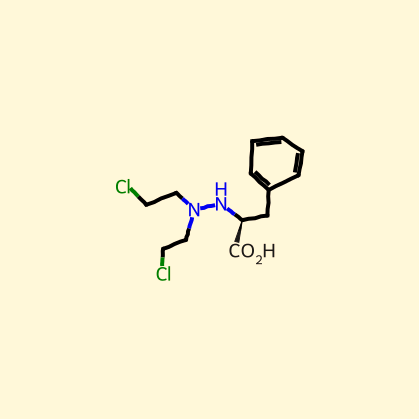 O=C(O)[C@H](Cc1ccccc1)NN(CCCl)CCCl